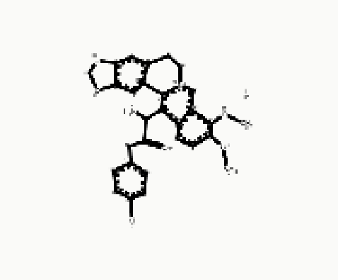 COc1ccc2c(C(N)C(=O)Cc3ccc(Cl)cc3)c3[n+](cc2c1OC)CCc1cc2c(cc1-3)OCO2.[I-]